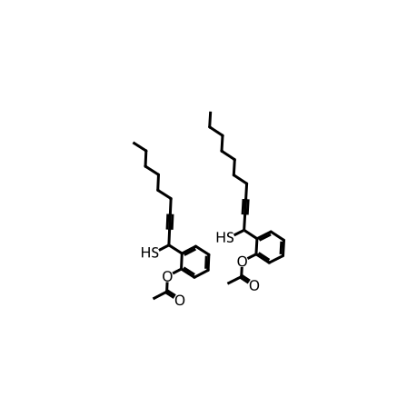 CCCCCCC#CC(S)c1ccccc1OC(C)=O.CCCCCCCC#CC(S)c1ccccc1OC(C)=O